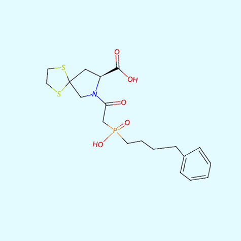 O=C(O)[C@@H]1CC2(CN1C(=O)CP(=O)(O)CCCCc1ccccc1)SCCS2